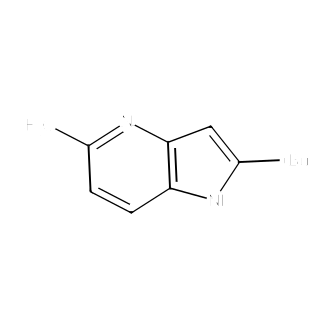 CC(C)(C)c1cc2nc(C(F)(F)F)ccc2[nH]1